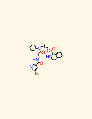 CC(C)(COC(=O)C1NCCc2ccccc21)CN(C(=O)CCNC(=O)c1cncc(Br)c1)c1ccccc1